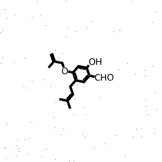 C=C(C)COc1cc(O)c(C=O)cc1CC=C(C)C